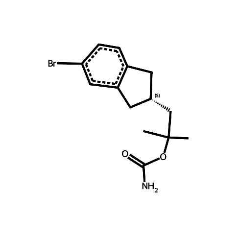 CC(C)(C[C@H]1Cc2ccc(Br)cc2C1)OC(N)=O